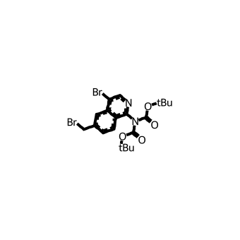 CC(C)(C)OC(=O)N(C(=O)OC(C)(C)C)c1ncc(Br)c2cc(CBr)ccc12